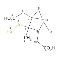 CC(SS)(C1(CC(=O)O)CC1)C1(CC(=O)O)CC1